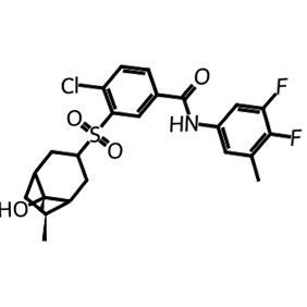 Cc1cc(NC(=O)c2ccc(Cl)c(S(=O)(=O)C3CC4C[C@H](C)C(C3)[C@]4(C)O)c2)cc(F)c1F